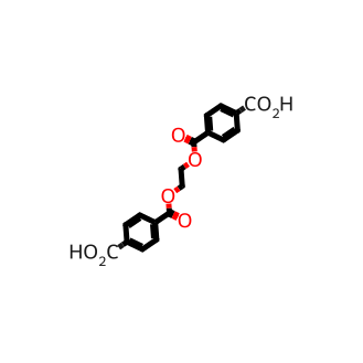 O=C(O)c1ccc(C(=O)OCCOC(=O)c2ccc(C(=O)O)cc2)cc1